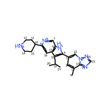 Cc1cc(-c2[nH]c3cnc(C4CCNCC4)cc3c2C(C)C)cn2ncnc12